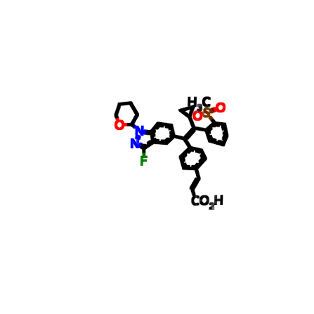 CS(=O)(=O)c1ccccc1/C(=C(\c1ccc(/C=C/C(=O)O)cc1)c1ccc2c(c1)c(F)nn2C1CCCCO1)C1CC1